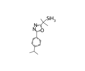 CC(C)c1ccc(-c2nnc(C(C)(C)[SiH3])o2)cc1